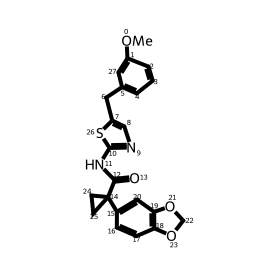 COc1cccc(Cc2cnc(NC(=O)C3(c4ccc5c(c4)OCO5)CC3)s2)c1